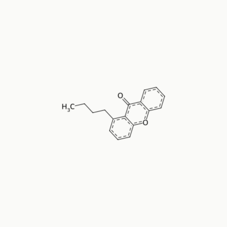 CCCCc1cccc2oc3ccccc3c(=O)c12